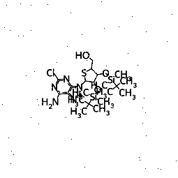 CC(C)(C)[Si](C)(C)OC1C(CO)SC(n2cnc3c(N)nc(Cl)nc32)C1O[Si](C)(C)C(C)(C)C